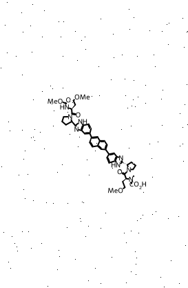 COCC[C@H](NC(=O)OC)C(=O)N1CCCC1c1nc2cc(-c3ccc4cc(-c5ccc6[nH]c([C@@H]7CCCN7C(=O)[C@H](CCOC)N(C)C(=O)O)nc6c5)ccc4c3)ccc2[nH]1